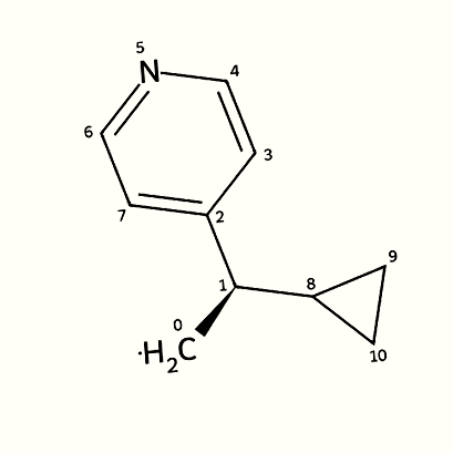 [CH2][C@@H](c1ccncc1)C1CC1